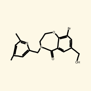 Cc1cc(C)nc(CN2CCOc3c(Br)cc(CO)cc3C2=O)c1